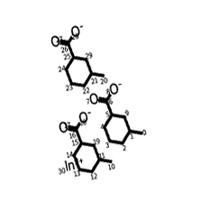 CC1CCCC(C(=O)[O-])C1.CC1CCCC(C(=O)[O-])C1.CC1CCCC(C(=O)[O-])C1.[In+3]